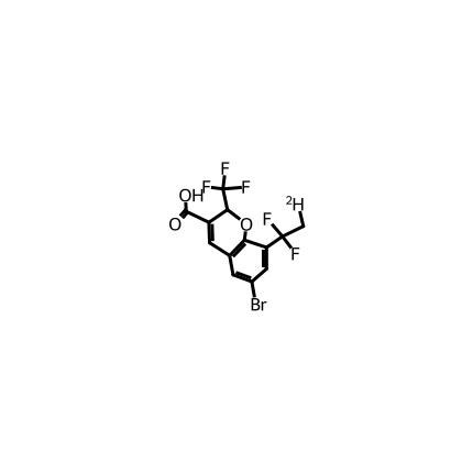 [2H]CC(F)(F)c1cc(Br)cc2c1OC(C(F)(F)F)C(C(=O)O)=C2